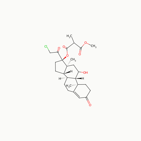 COC(=O)C(C)C(=O)O[C@]1(C(=O)CCl)CC[C@H]2[C@@H]3CCC4=CC(=O)CC[C@]4(C)[C@H]3C(O)C[C@@]21C